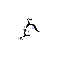 C/C=C/C(=O)O.CC(N)O